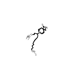 CCCCCCCC(CCC)N1CCC2(CC1)CNC2=O